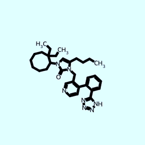 CCCCc1cn(C2CCCCCCC2(CC)CC)c(=O)n1Cc1cnccc1-c1ccccc1-c1nnn[nH]1